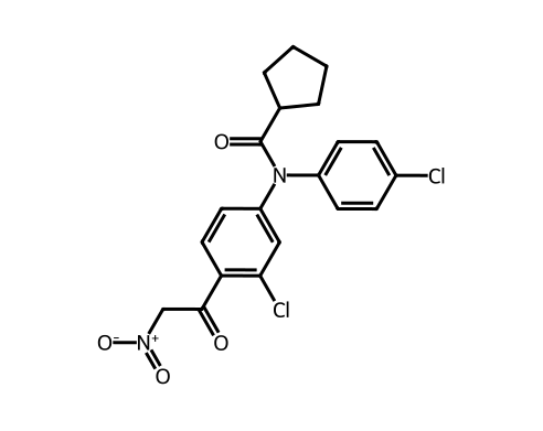 O=C(C[N+](=O)[O-])c1ccc(N(C(=O)C2CCCC2)c2ccc(Cl)cc2)cc1Cl